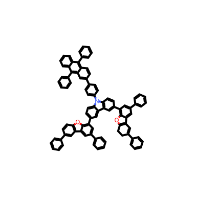 C1=C(c2ccccc2)CCc2oc3c(-c4ccc5c(c4)c4cc(-c6cc(-c7ccccc7)cc7c6oc6ccc(-c8ccccc8)cc67)ccc4n5-c4ccc(-c5ccc6c(-c7ccccc7)c7ccccc7c(-c7ccccc7)c6c5)cc4)cc(-c4ccccc4)cc3c21